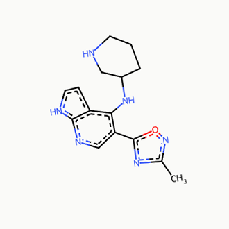 Cc1noc(-c2cnc3[nH]ccc3c2NC2CCCNC2)n1